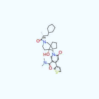 C[C@H](CC1CCCCC1)C(=O)N1CCC(O)(Cn2cc(C(=O)N(C)C)c(-c3ccsc3)cc2=O)C2(CCCC2)C1